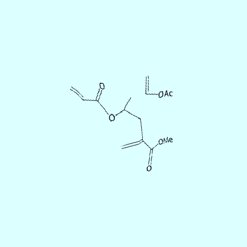 C=CC(=O)OC(C)CC(=C)C(=O)OC.C=COC(C)=O